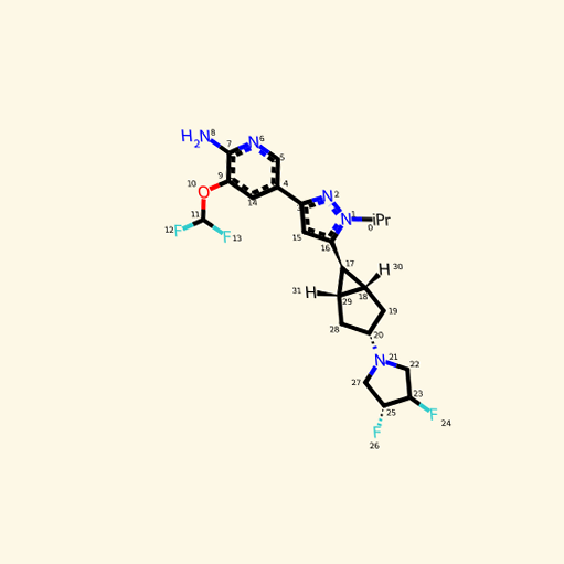 CC(C)n1nc(-c2cnc(N)c(OC(F)F)c2)cc1[C@H]1[C@@H]2C[C@H](N3CC(F)[C@H](F)C3)C[C@@H]21